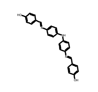 Oc1ccc(C=Nc2ccc(Nc3ccc(/N=C/c4ccc(O)cc4)cc3)cc2)cc1